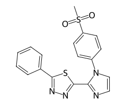 CS(=O)(=O)c1ccc(-n2ccnc2-c2nnc(-c3ccccc3)s2)cc1